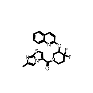 Cc1cn2c(C(=O)N3CCC(F)(F)C(Oc4ccc5ccccc5n4)C3)csc2n1